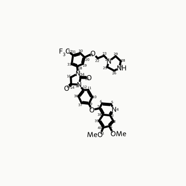 COc1cc2nccc(Oc3ccc(N4C(=O)CN(c5cc(OCCN6CCNCC6)cc(C(F)(F)F)c5)C4=O)cc3)c2cc1OC